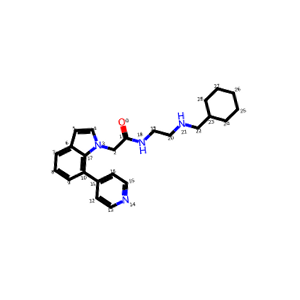 O=C(Cn1ccc2cccc(-c3ccncc3)c21)NCCNCC1CCCCC1